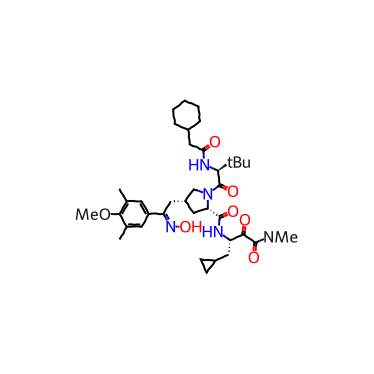 CNC(=O)C(=O)[C@H](CC1CC1)NC(=O)[C@@H]1C[C@H](C/C(=N\O)c2cc(C)c(OC)c(C)c2)CN1C(=O)[C@@H](NC(=O)CC1CCCCC1)C(C)(C)C